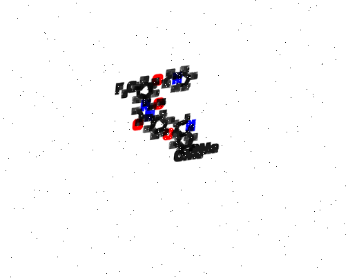 COc1cc2nccc(Oc3ccc(N4C(=O)CN(c5cc(OCCN6CCCC6)cc(C(F)(F)F)c5)C4=O)cc3)c2cc1OC